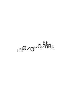 CCCCC(CC)COCCOCCOC(C)C